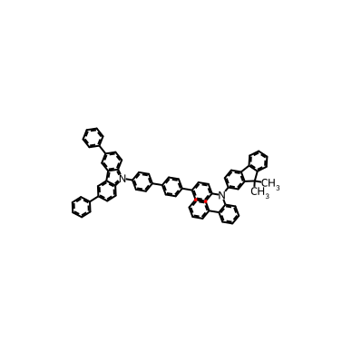 CC1(C)c2ccccc2-c2ccc(N(c3ccc(-c4ccc(-c5ccc(-n6c7ccc(-c8ccccc8)cc7c7cc(-c8ccccc8)ccc76)cc5)cc4)cc3)c3ccccc3-c3ccccc3)cc21